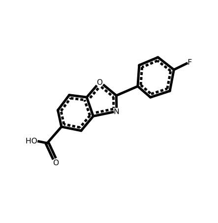 O=C(O)c1ccc2oc(-c3ccc(F)cc3)nc2c1